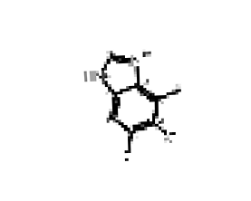 Cc1c(Cl)c(Cl)cc2[nH][c]nc12